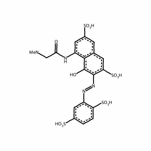 CNCC(=O)Nc1cc(S(=O)(=O)O)cc2cc(S(=O)(=O)O)c(N=Nc3cc(S(=O)(=O)O)ccc3S(=O)(=O)O)c(O)c12